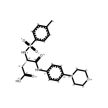 Cc1ccc(S(=O)(=O)N[C@@H](CC(=O)O)C(=O)Nc2ccc(N3CCOCC3)cc2)cc1